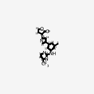 Cc1cc(Nc2nccc(C(F)(F)F)n2)cc(-c2cnn(C3CCOC3=O)c2)c1